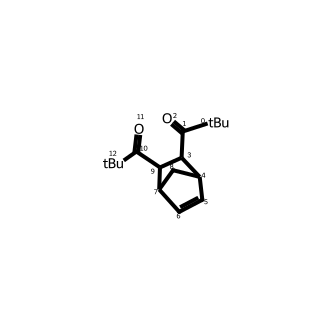 CC(C)(C)C(=O)C1C2C=CC(C2)C1C(=O)C(C)(C)C